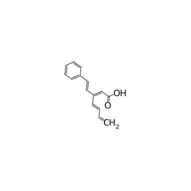 C=CC=CC(C=Cc1ccccc1)=CC(=O)O